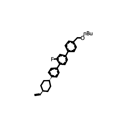 C=C[C@H]1CC[C@H](c2ccc(-c3ccc(-c4ccc(COCCCC)cc4)cc3F)cc2)CC1